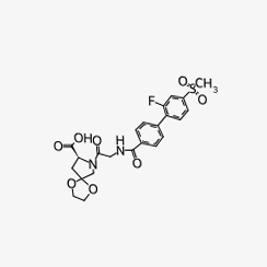 CS(=O)(=O)c1ccc(-c2ccc(C(=O)NCC(=O)N3CC4(C[C@H]3C(=O)O)OCCO4)cc2)c(F)c1